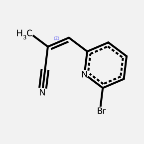 C/C(C#N)=C/c1cccc(Br)n1